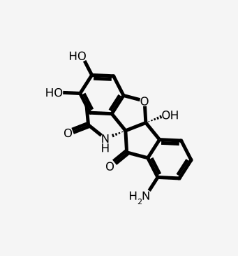 CC(=O)N[C@@]12C(=O)c3c(N)cccc3[C@]1(O)Oc1cc(O)c(O)cc12